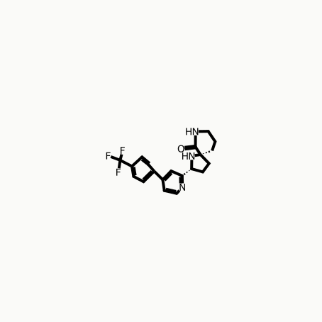 O=C1NCCC[C@@]12CC[C@H](c1cc(-c3ccc(C(F)(F)F)cc3)ccn1)N2